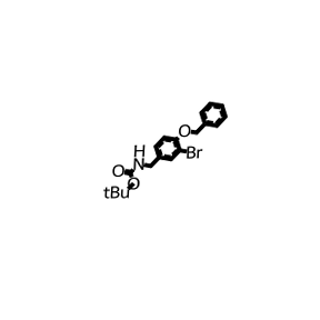 CC(C)(C)OC(=O)NCc1ccc(OCc2ccccc2)c(Br)c1